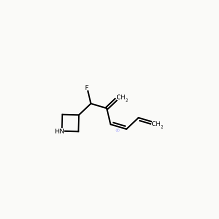 C=C/C=C\C(=C)C(F)C1CNC1